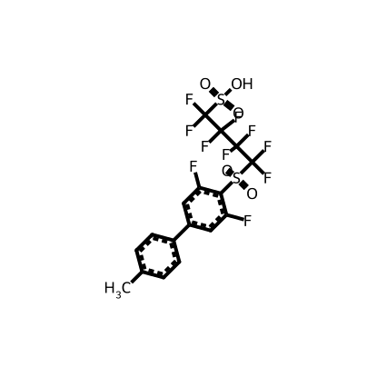 Cc1ccc(-c2cc(F)c(S(=O)(=O)C(F)(F)C(F)(F)C(F)(F)C(F)(F)S(=O)(=O)O)c(F)c2)cc1